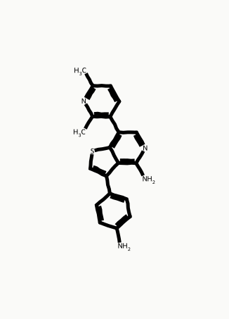 Cc1ccc(-c2cnc(N)c3c(-c4ccc(N)cc4)csc23)c(C)n1